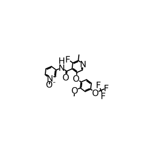 COc1cc(OC(F)(F)F)ccc1Oc1cnc(C)c(F)c1C(=O)Nc1ccc[n+]([O-])c1